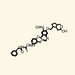 COc1cc2c(Oc3ccc(NOC(=S)NC(=O)Cc4ccccc4)cc3F)ncnc2cc1OCC1CCC2COC(O)CC12